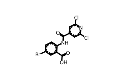 O=C(Nc1ccc(Br)cc1C(=O)O)c1cc(Cl)nc(Cl)c1